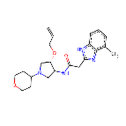 C=CCO[C@H]1CN(C2CCOCC2)CC1NC(=O)Cc1nc2c(C(F)(F)F)cccc2[nH]1